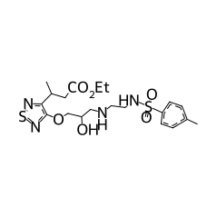 CCOC(=O)CC(C)c1nsnc1OCC(O)CNCCNS(=O)(=O)c1ccc(C)cc1